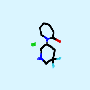 Cl.O=C1CCCCCN1[C@H]1CNCC(F)(F)C1